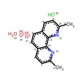 Cc1ccc2ccc3ccc(C)nc3c2n1.Cl.O.O.O